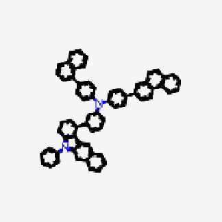 c1ccc(-n2c3cc4ccccc4cc3c3c(-c4cccc(N(c5ccc(-c6ccc7c(ccc8ccccc87)c6)cc5)c5ccc(-c6cccc7ccccc67)cc5)c4)cccc32)cc1